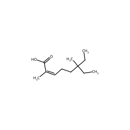 CCC(C)(CC)CCC=C(C)C(=O)O